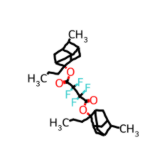 CCCC1(OC(=O)C(F)(F)C(F)(F)C(=O)OC2(CCC)C3CC4CC2CC(C3)C4C)C2CC3CC1CC(C2)C3C